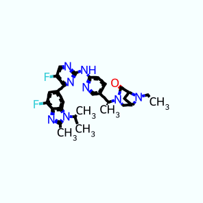 CCN1C2CC1C(=O)N([C@H](C)c1ccc(Nc3ncc(F)c(-c4cc(F)c5nc(C)n(C(C)C)c5c4)n3)nc1)C2